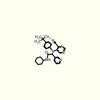 CC(C)(C)c1ccc(N(c2cncnc2C#N)C(C(=O)NC2CCCCC2)c2cccnc2)cc1